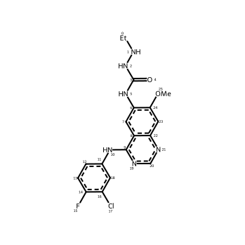 CCNNC(=O)Nc1cc2c(Nc3ccc(F)c(Cl)c3)ncnc2cc1OC